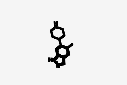 Cc1cc2cn[nH]c2cc1C1CCNCC1